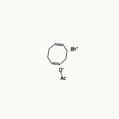 C1=C\CC/C=C\CC/1.CC(=O)[O-].[Rh+]